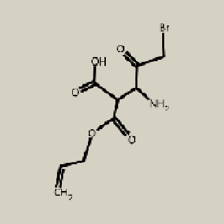 C=CCOC(=O)C(C(=O)O)C(N)C(=O)CBr